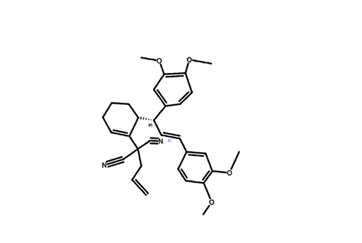 C=CCC(C#N)(C#N)C1=CCCCC1[C@@H](/C=C/c1ccc(OC)c(OC)c1)c1ccc(OC)c(OC)c1